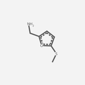 CSc1ccc(CN)o1